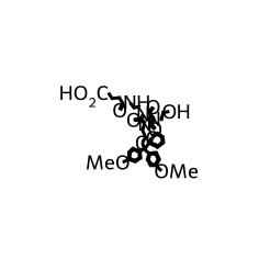 COc1ccc(C(OCCn2c(=O)n(CCO)c(=O)n(CCNC(=O)CCCC(=O)O)c2=O)(c2ccccc2)c2ccc(OC)cc2)cc1